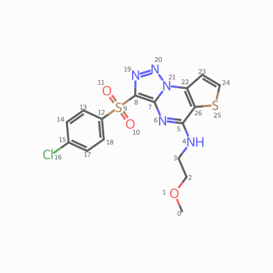 COCCNc1nc2c(S(=O)(=O)c3ccc(Cl)cc3)nnn2c2ccsc12